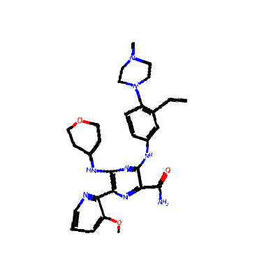 CCc1cc(Nc2nc(NC3CCOCC3)c(-c3ncccc3OC)nc2C(N)=O)ccc1N1CCN(C)CC1